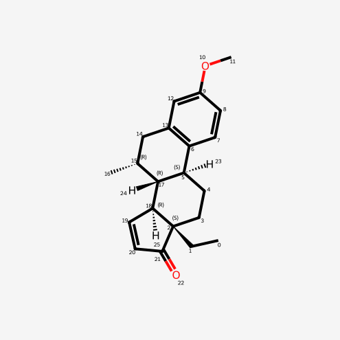 CC[C@]12CC[C@@H]3c4ccc(OC)cc4C[C@@H](C)[C@H]3[C@@H]1C=CC2=O